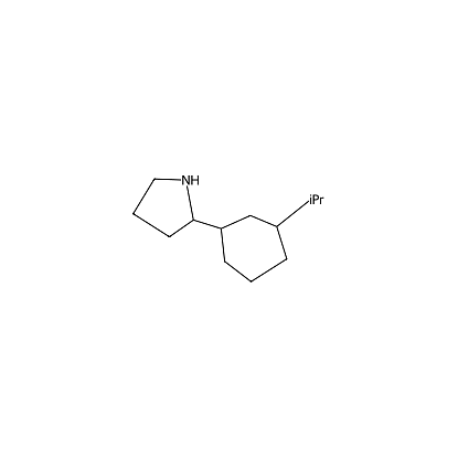 CC(C)C1CCCC(C2CCCN2)C1